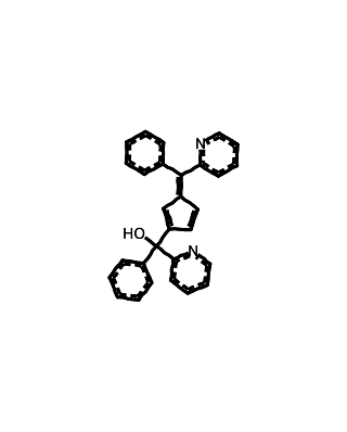 OC(C1=CC(=C(c2ccccc2)c2ccccn2)C=C1)(c1ccccc1)c1ccccn1